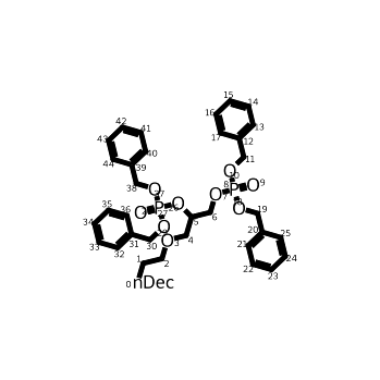 CCCCCCCCCCCCOCC(COP(=O)(OCc1ccccc1)OCc1ccccc1)OP(=O)(OCc1ccccc1)OCc1ccccc1